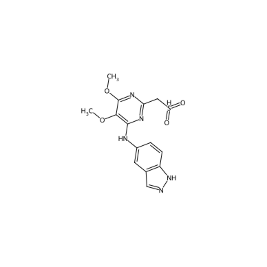 COc1nc(C[SH](=O)=O)nc(Nc2ccc3[nH]ncc3c2)c1OC